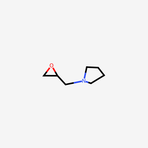 C1CCN(CC2CO2)C1